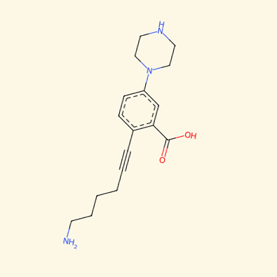 NCCCCC#Cc1ccc(N2CCNCC2)cc1C(=O)O